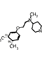 C[C@@H]1C=C(OCCN(C)C2CCNCC2)C=C[C@@H]1C